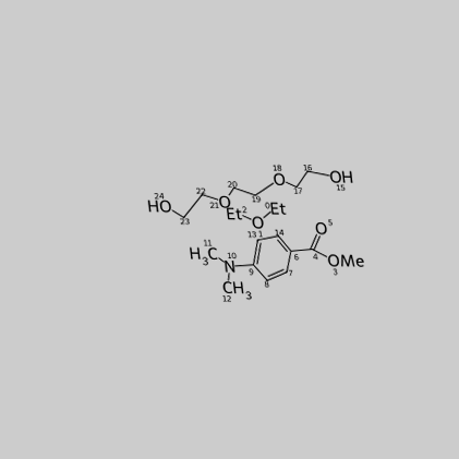 CCOCC.COC(=O)c1ccc(N(C)C)cc1.OCCOCCOCCO